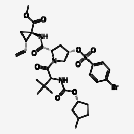 C=C[C@@H]1C[C@]1(NC(=O)[C@@H]1C[C@H](OS(=O)(=O)c2ccc(Br)cc2)CN1C(=O)C(NC(=O)O[C@@H]1CCC(C)C1)C(C)(C)C)C(=O)OC